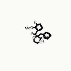 COc1c(F)cccc1C(F)C1(Cc2ccccc2)OCCNC1C=O